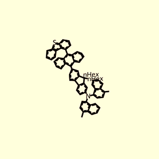 CCCCCCC1(CCCCCC)c2cc(-c3c4ccccc4c(-c4cccc5sc6ccccc6c45)c4ccccc34)ccc2-c2ccc(N(c3ccc(C)c4ccccc34)c3ccc(C)c4ccccc34)cc21